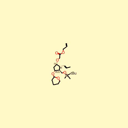 C=CCOC(=O)CO[C@H]1C[C@@H](OC2CCCCO2)[C@H](CO[Si](C)(C)C(C)(C)C)[C@H]1C=CC